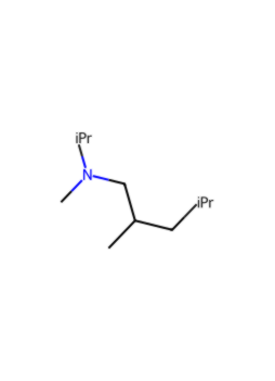 CC(C)CC(C)CN(C)C(C)C